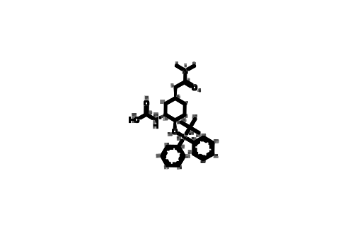 CN(C)C(=O)C[C@H]1CC[C@@H](O[Si](c2ccccc2)(c2ccccc2)C(C)(C)C)[C@H](NC(=O)O)C1